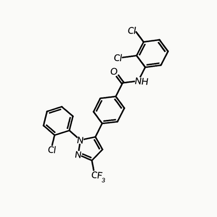 O=C(Nc1cccc(Cl)c1Cl)c1ccc(-c2cc(C(F)(F)F)nn2-c2ccccc2Cl)cc1